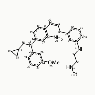 CCNCCNc1cc(C/C=N\c2ccc(N(CC3CC3)c3cccc(OC)c3)cc2N)ccn1